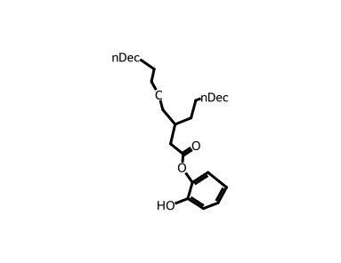 CCCCCCCCCCCCCCC(CCCCCCCCCCCC)CC(=O)Oc1ccccc1O